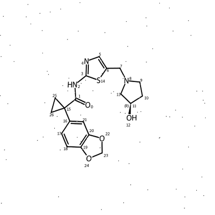 O=C(Nc1ncc(CN2CC[C@@H](O)C2)s1)C1(c2ccc3c(c2)OCO3)CC1